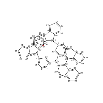 c1cc(N(c2cccc(-n3c4ccccc4c4ccccc43)c2)c2ccc3ccccc3c2-c2cccc3ccccc23)cc(-n2c3ccccc3c3ccccc32)c1